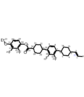 C/C=C/C1CCC(c2ccc(C3CCC(C(=O)Oc4ccc(OCC)c(F)c4F)CC3)c(F)c2F)CC1